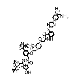 Cc1ncsc1-c1ccc(CNC(=O)[C@@H]2C[C@@H](O)CN2C(=O)[C@@H](NC(=O)C2(F)CC2)C(C)(C)C)c(OCCN2CCN(C(=O)CC(=O)Nc3cccc(Sc4cnc(N5CCC(C)(CN)CC5)cn4)c3Cl)C[C@@H]2C(=O)O)c1